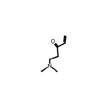 C=CC(=O)CCN(C)C